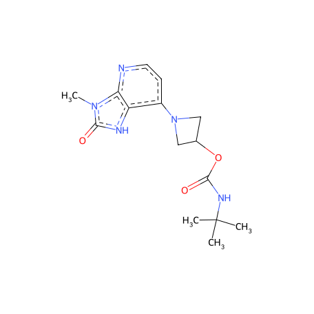 Cn1c(=O)[nH]c2c(N3CC(OC(=O)NC(C)(C)C)C3)ccnc21